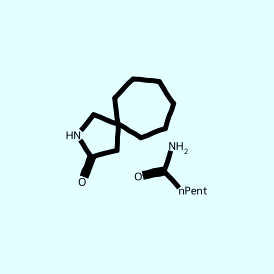 CCCCCC(N)=O.O=C1CC2(CCCCCC2)CN1